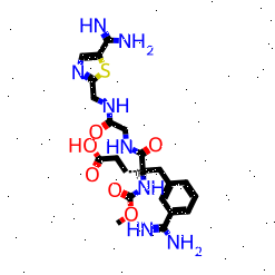 COC(=O)N[C@](CCC(=O)O)(Cc1cccc(C(=N)N)c1)C(=O)NCC(=O)NCc1ncc(C(=N)N)s1